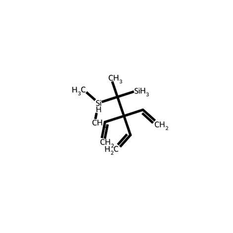 C=CC(C=C)(C=C)C(C)([SiH3])[SiH](C)C